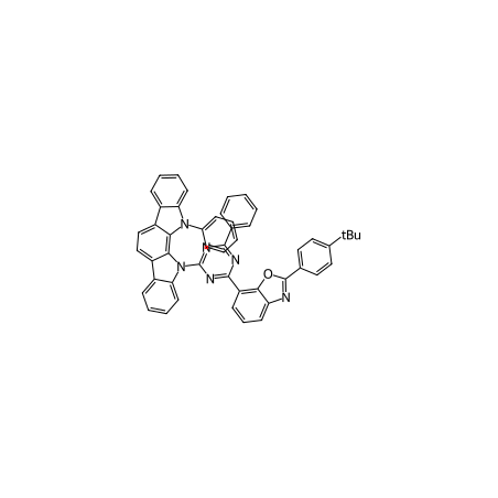 CC(C)(C)c1ccc(-c2nc3cccc(-c4nc(-c5ccccc5)nc(-n5c6ccccc6c6ccc7c8ccccc8n(-c8ccccc8)c7c65)n4)c3o2)cc1